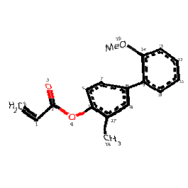 C=CC(=O)Oc1ccc(-c2ccccc2OC)cc1C